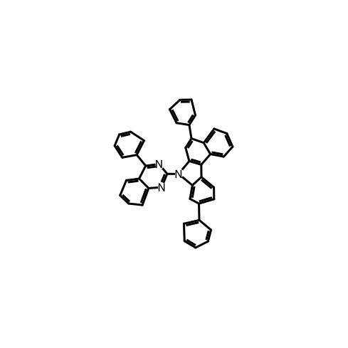 c1ccc(-c2ccc3c4c5ccccc5c(-c5ccccc5)cc4n(-c4nc(-c5ccccc5)c5ccccc5n4)c3c2)cc1